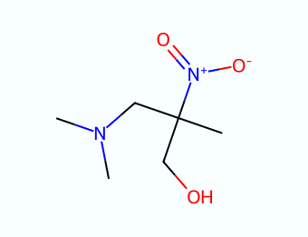 CN(C)CC(C)(CO)[N+](=O)[O-]